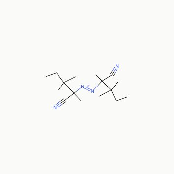 CCC(C)(C)C(C)(C#N)/N=N/C(C)(C#N)C(C)(C)CC